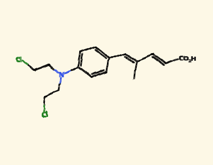 CC(/C=C/C(=O)O)=C\c1ccc(N(CCCl)CCCl)cc1